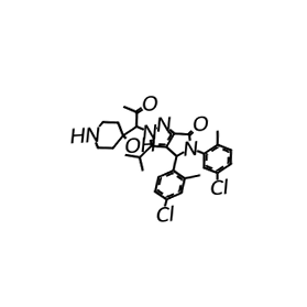 CC(=O)C(n1nc2c(c1C(C)C)C(c1ccc(Cl)cc1C)N(c1cc(Cl)ccc1C)C2=O)C1(O)CCNCC1